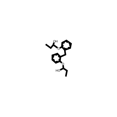 CCC(O)Oc1ccccc1Cc1ccccc1OC(O)CC